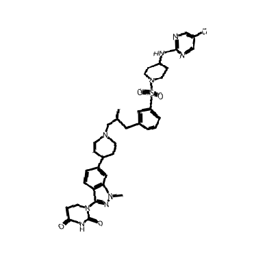 CC(Cc1cccc(S(=O)(=O)N2CCC(Nc3ncc(Cl)cn3)CC2)c1)CN1CCC(c2ccc3c(N4CCC(=O)NC4=O)nn(C)c3c2)CC1